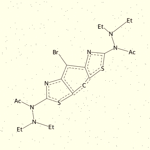 CCN(CC)N(C(C)=O)c1nc2c(Br)c3nc(N(C(C)=O)N(CC)CC)sc3cc2s1